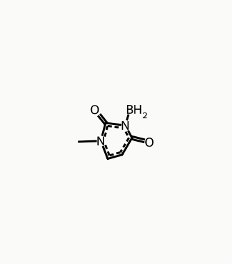 Bn1c(=O)ccn(C)c1=O